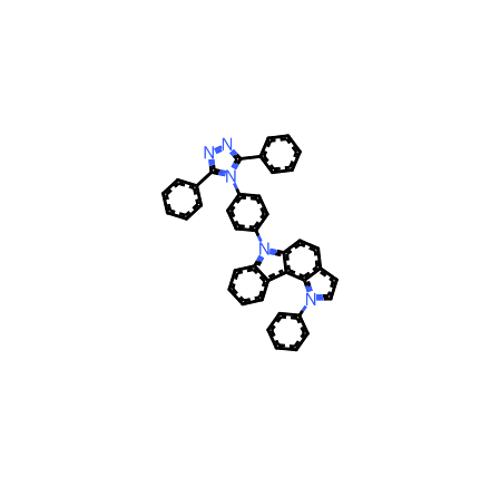 c1ccc(-c2nnc(-c3ccccc3)n2-c2ccc(-n3c4ccccc4c4c5c(ccc43)ccn5-c3ccccc3)cc2)cc1